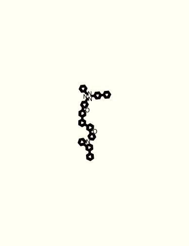 c1ccc(-c2ccc(-c3nc(-c4ccccc4)nc(-c4ccc5c(c4)oc4cc(-c6cccc(-c7ccc8oc9ccc(-n%10c%11ccccc%11c%11cc(-c%12ccccc%12)ccc%11%10)cc9c8c7)c6)ccc45)n3)cc2)cc1